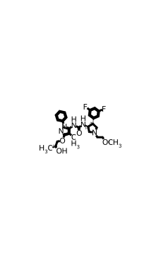 COCCN1C[C@@H](NC(=O)Nc2c(C)c(OC[C@H](C)O)nn2-c2ccccc2)[C@H](c2cc(F)cc(F)c2)C1